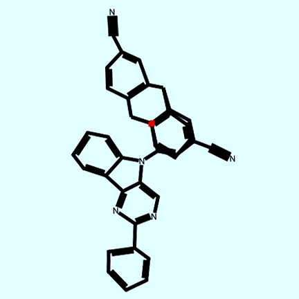 N#Cc1ccc2c(c1)C1c3cc(C#N)ccc3C2c2c1cccc2-n1c2ccccc2c2nc(-c3ccccc3)ncc21